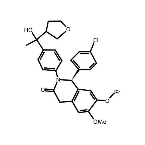 COc1cc2c(cc1OC(C)C)[C@H](c1ccc(Cl)cc1)N(c1ccc(C(C)(O)C3CCOC3)cc1)C(=O)C2